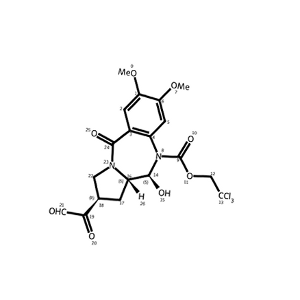 COc1cc2c(cc1OC)N(C(=O)OCC(Cl)(Cl)Cl)[C@@H](O)[C@@H]1C[C@@H](C(=O)C=O)CN1C2=O